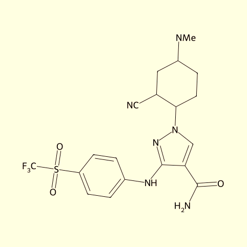 CNC1CCC(n2cc(C(N)=O)c(Nc3ccc(S(=O)(=O)C(F)(F)F)cc3)n2)C(C#N)C1